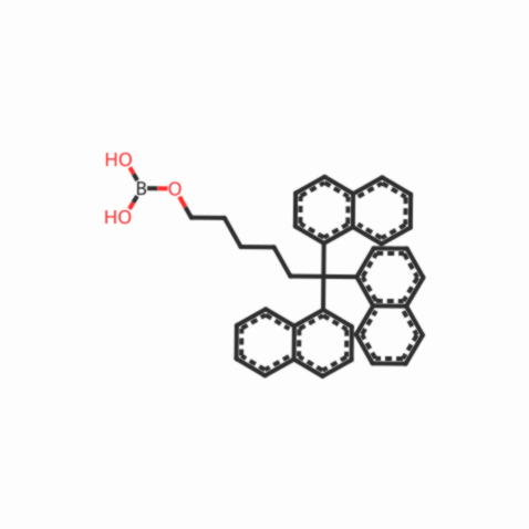 OB(O)OCCCCCC(c1cccc2ccccc12)(c1cccc2ccccc12)c1cccc2ccccc12